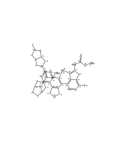 CN1CC2CN(c3nc(N4C5CCC4CN(C(=O)OC(C)(C)C)C5)c4c5c(c(-c6ncc(F)c7sc(NC(=O)OC(C)(C)C)c(C#N)c67)c(F)c4n3)COC5)CC2C1